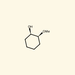 CO[C@H]1CCCC[C@H]1O